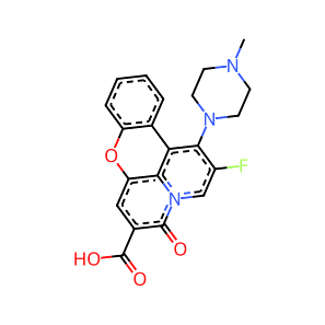 CN1CCN(c2c(F)cn3c(=O)c(C(=O)O)cc4c3c2-c2ccccc2O4)CC1